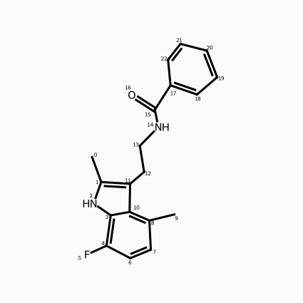 Cc1[nH]c2c(F)ccc(C)c2c1CCNC(=O)c1ccccc1